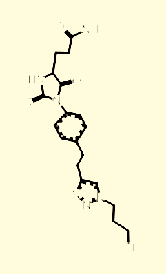 NC(=O)CCC1NC(=S)N(c2ccc(CCc3cn(CCCS)nn3)cc2)C1=O